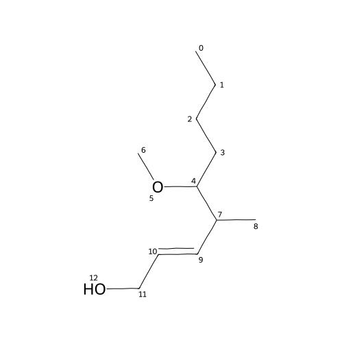 CCCCC(OC)C(C)/C=C/CO